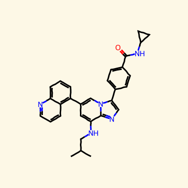 CC(C)CNc1cc(-c2cccc3ncccc23)cn2c(-c3ccc(C(=O)NC4CC4)cc3)cnc12